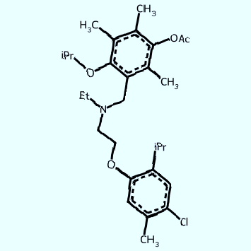 CCN(CCOc1cc(C)c(Cl)cc1C(C)C)Cc1c(C)c(OC(C)=O)c(C)c(C)c1OC(C)C